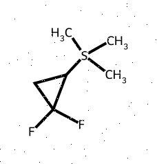 CS(C)(C)C1CC1(F)F